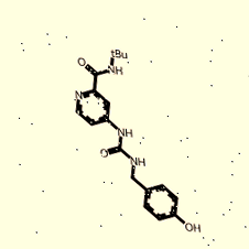 CC(C)(C)NC(=O)c1cc(NC(=O)NCc2ccc(O)cc2)ccn1